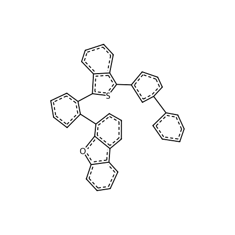 c1ccc(-c2cccc(-c3sc(-c4ccccc4-c4cccc5c4oc4ccccc45)c4ccccc34)c2)cc1